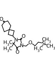 CC1(C)C(=O)N(COCC[Si](C)(C)C)C(=O)N1C1CC2(CCC(=O)CC2)C1